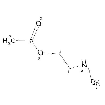 CC(=O)OCCNO